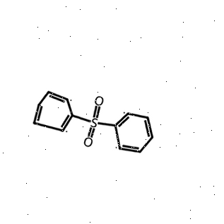 O=S(=O)(c1[c]ccc[c]1)c1[c]ccc[c]1